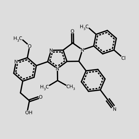 COc1ncc(CC(=O)O)cc1-c1nc2c(n1C(C)C)C(c1ccc(C#N)cc1)N(c1cc(Cl)ccc1C)C2=O